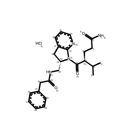 CC(C)[C@H](CCC(N)=O)C(=O)N1c2ncccc2C[C@H]1CNC(=O)Cc1ccccc1.Cl